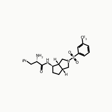 CC(C)C[C@H](N)C(=O)N[C@@H]1CC[C@H]2CN(S(=O)(=O)c3cccc(C(F)(F)F)c3)C[C@H]21